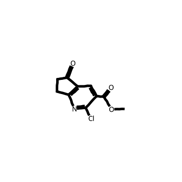 COC(=O)c1cc2c(nc1Cl)CCC2=O